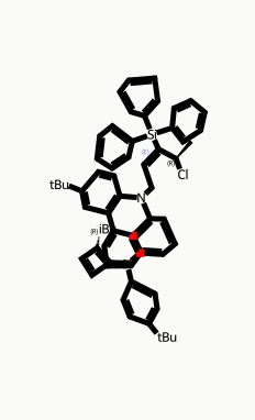 CC[C@@H](C)C1=C(N(c2ccc(C(C)(C)C)cc2)c2cccc(N(C/C=C(\[C@@H](C)Cl)[Si](c3ccccc3)(c3ccccc3)c3ccccc3)c3ccc(C(C)(C)C)cc3-c3ccccc3)c2)C=C1